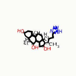 CC[C@H]1[C@@H](O)C2C3C[C@H](O)[C@H]([C@H](C)CCc4nnn[nH]4)[C@@]3(C)CCC2[C@@]2(C)CC[C@@H](O)C[C@@H]12